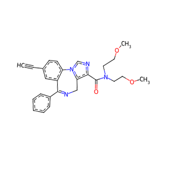 C#Cc1ccc2c(c1)C(c1ccccc1)=NCc1c(C(=O)N(CCOC)CCOC)ncn1-2